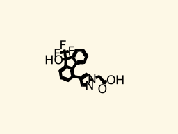 O=C(O)Cn1cc(-c2cccc3c2-c2ccccc2C3(O)C(F)(F)F)cn1